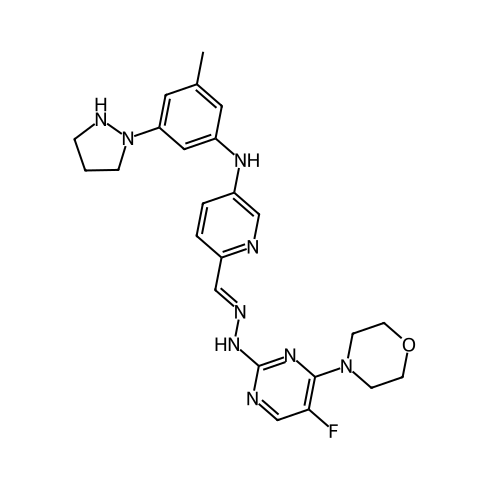 Cc1cc(Nc2ccc(/C=N/Nc3ncc(F)c(N4CCOCC4)n3)nc2)cc(N2CCCN2)c1